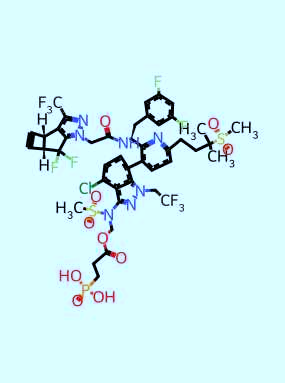 CC(C)(CCc1ccc(-c2ccc(Cl)c3c(N(COC(=O)CCP(=O)(O)O)S(C)(=O)=O)nn(CC(F)(F)F)c23)c([C@H](Cc2cc(F)cc(F)c2)NC(=O)Cn2nc(C(F)(F)F)c3c2C(F)(F)[C@@H]2C#C[C@H]32)n1)S(C)(=O)=O